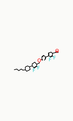 C=C(/C=C\C(=C/C)C1=CCC(C2CO2)C(F)=C1F)OCC1CCC(C2CCC(CCCCC)CC2)C(F)=C1F